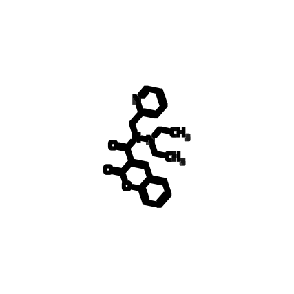 CCN(CC)N(Cc1ccccn1)C(=O)c1cc2ccccc2oc1=O